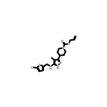 C=CCOC(=O)N1CCC(c2n[nH]c(NCc3ccc(Cl)s3)c2C)CC1